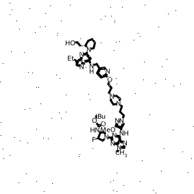 CCc1cnn2c(NCc3ccc(OCCCN4CCN(CCCn5cc(Nc6nc(N7C[C@@H](F)[C@H](NC(=O)OC(C)(C)C)C7)nc7c6ncn7C)c(OC)n5)CC4)nc3)cc(N3CCCC[C@H]3CCO)nc12